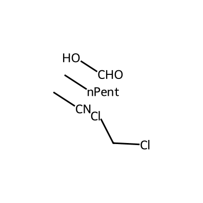 CC#N.CCCCCC.ClCCl.O=CO